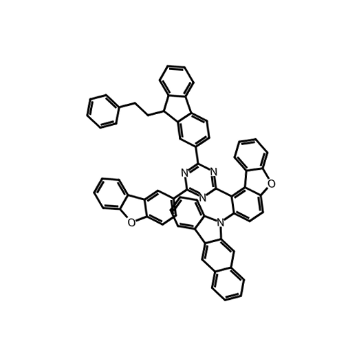 c1ccc(CCC2c3ccccc3-c3ccc(-c4nc(-c5ccc6oc7ccccc7c6c5)nc(-c5c(-n6c7ccccc7c7cc8ccccc8cc76)ccc6oc7ccccc7c56)n4)cc32)cc1